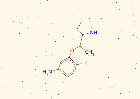 CC(Oc1cc(N)ccc1Cl)C1CCCN1